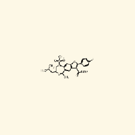 CNC(=O)c1c(-c2ccc(F)cc2)oc2cc3c(cc12)C(C)OC(CN(C)C)CN3S(C)(=O)=O